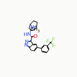 CN1C2CCC1CC(NC(=O)C1=NN=C3CC=C(c4cccc(C(F)(F)F)c4)C=C31)C2